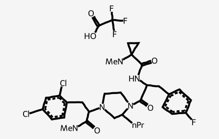 CCCC1CN(C(Cc2ccc(Cl)cc2Cl)C(=O)NC)CCN1C(=O)C(Cc1ccc(F)cc1)NC(=O)C1(NC)CC1.O=C(O)C(F)(F)F